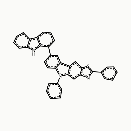 c1ccc(-c2nc3cc4c(cc3s2)c2cc(-c3cccc5c3[nH]c3ccccc35)ccc2n4-c2ccccc2)cc1